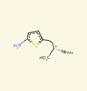 CC(=O)N[C@@H](Cc1ccc(N)s1)C(=O)O